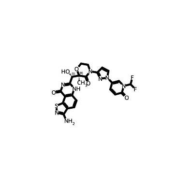 C[C@]1([C@@H](O)c2nc(=O)c3c(ccc4c(N)nsc43)[nH]2)OCCN(c2ccn(-c3ccc(=O)n(C(F)F)c3)n2)C1=O